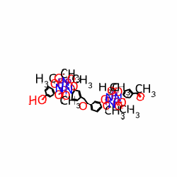 COP1(OC)=NP(OC)(Oc2cccc(CC(=O)c3cccc(OP4(OC)=NP(OC)(OC)=NP(OC)(Oc5cccc(C(C)=O)c5)=N4)c3)c2)=NP(OC)(Oc2cccc(O)c2)=N1